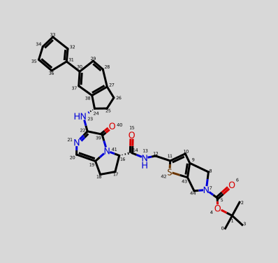 CC(C)(C)OC(=O)N1Cc2cc(CNC(=O)[C@@H]3CCc4cnc(N[C@H]5CCc6ccc(-c7ccccc7)cc65)c(=O)n43)sc2C1